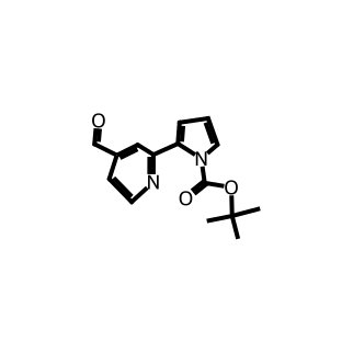 CC(C)(C)OC(=O)n1cccc1-c1cc(C=O)ccn1